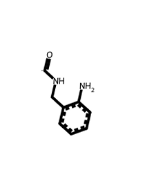 Nc1ccccc1CN[C]=O